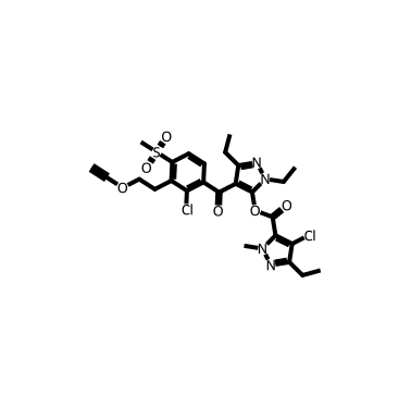 C#COCCc1c(S(C)(=O)=O)ccc(C(=O)c2c(CC)nn(CC)c2OC(=O)c2c(Cl)c(CC)nn2C)c1Cl